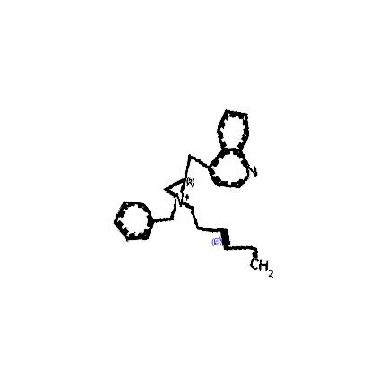 C=C/C=C/CC[N+]1(Cc2ccccc2)C[C@H]1Cc1ccnc2ccccc12